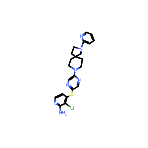 Nc1nccc(Sc2cnc(N3CCC4(CC3)CCN(c3ccccn3)C4)cn2)c1Cl